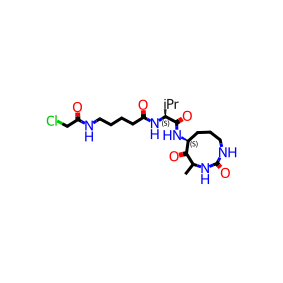 CC1NC(=O)NCCC[C@H](NC(=O)[C@@H](NC(=O)CCCCNC(=O)CCl)C(C)C)C1=O